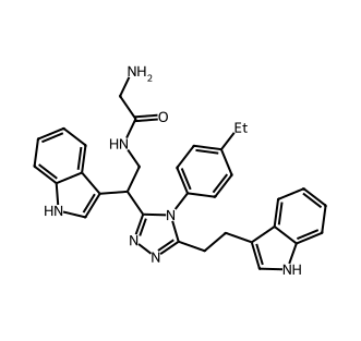 CCc1ccc(-n2c(CCc3c[nH]c4ccccc34)nnc2C(CNC(=O)CN)c2c[nH]c3ccccc23)cc1